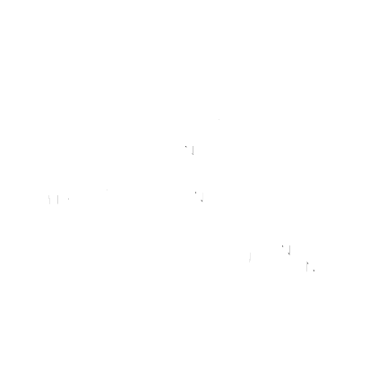 COc1cccc(Cn2cnc3cc(-c4ccnn4C)ccc3c2=O)c1